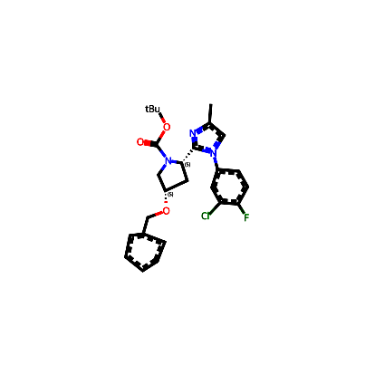 Cc1cn(-c2ccc(F)c(Cl)c2)c([C@@H]2C[C@H](OCc3ccccc3)CN2C(=O)OC(C)(C)C)n1